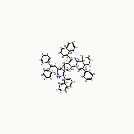 c1ccc(-c2cc3c4c(c(-c5cccc6ccccc56)nc3c3ccccc23)C2CC4c3c(-c4cccc5ccccc45)nc4c(cc(-c5ccccc5)c5ccccc54)c32)cc1